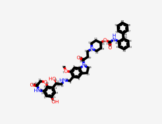 COc1cc2c(cc1CNC[C@H](O)c1cc(O)cc3c1OCC(=O)N3)CCN2C(=O)CCN1CCC(OC(=O)Nc2ccccc2-c2ccccc2)CC1